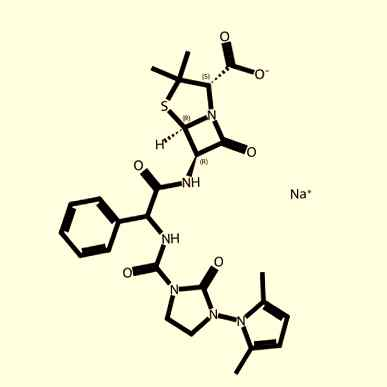 Cc1ccc(C)n1N1CCN(C(=O)NC(C(=O)N[C@@H]2C(=O)N3[C@@H]2SC(C)(C)[C@@H]3C(=O)[O-])c2ccccc2)C1=O.[Na+]